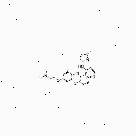 CN(C)CCOc1cnc(Cl)c(Oc2ccc3ncnc(Nc4ccn(C)n4)c3c2)c1